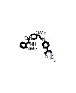 CNc1ccccc1C(=N)C(=O)N1CCC(CCNc2ccc(/C(C=N)=C/N)cc2)(OC)CC1